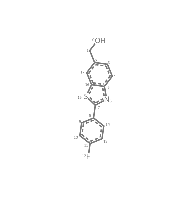 OCc1ccc2nc(-c3ccc(F)cc3)sc2c1